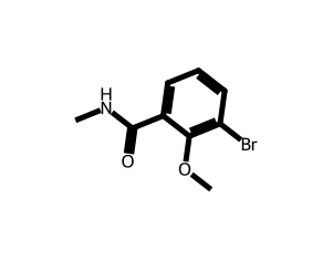 CNC(=O)c1cccc(Br)c1OC